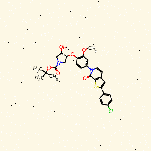 COc1cc(-n2ccc3cc(-c4ccc(Cl)cc4)sc3c2=O)ccc1OC1CN(C(=O)OC(C)(C)C)CC1O